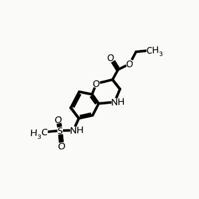 CCOC(=O)C1CNc2cc(NS(C)(=O)=O)ccc2O1